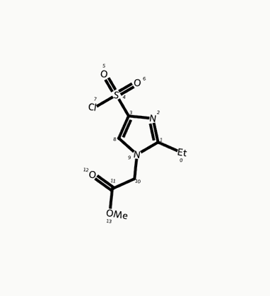 CCc1nc(S(=O)(=O)Cl)cn1CC(=O)OC